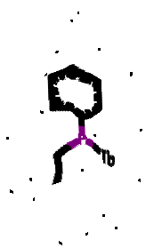 CC[P]([Tb])c1ccccc1